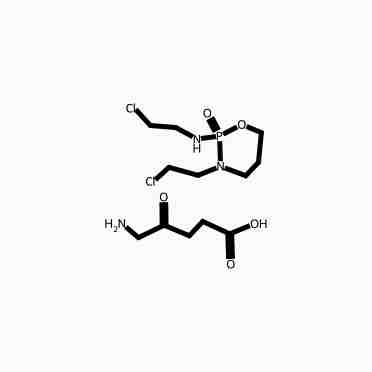 NCC(=O)CCC(=O)O.O=P1(NCCCl)OCCCN1CCCl